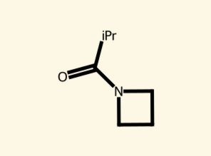 CC(C)C(=O)N1CCC1